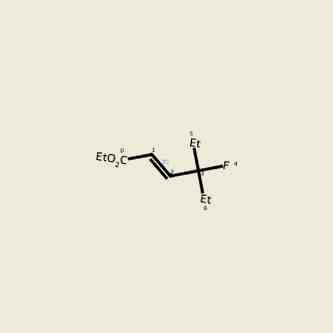 CCOC(=O)/C=C/C(F)(CC)CC